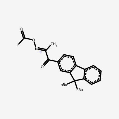 CCCCC1(CCCC)c2ccccc2-c2ccc(C(=O)/C(C)=N/OC(=O)I)cc21